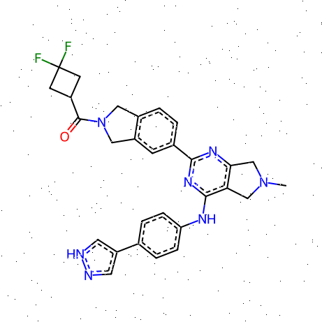 CN1Cc2nc(-c3ccc4c(c3)CN(C(=O)C3CC(F)(F)C3)C4)nc(Nc3ccc(-c4cn[nH]c4)cc3)c2C1